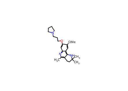 COc1cc2c3c(c(C)nc2cc1OCCCN1CCCC1)CCC(C)(C)N3